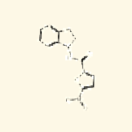 O=C(NC1CCc2ccccc21)c1ccc([N+](=O)[O-])o1